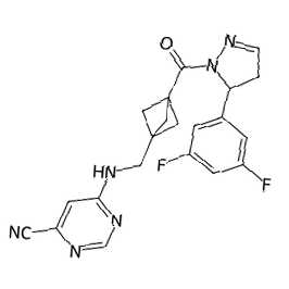 N#Cc1cc(NCC23CC(C(=O)N4N=CCC4c4cc(F)cc(F)c4)(C2)C3)ncn1